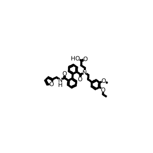 CCOc1ccc(CCN(CCC(=O)O)C(=O)c2ccccc2-c2ccccc2C(=O)NCc2ccco2)cc1OC